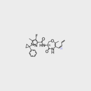 C=C/C=C\C1=C(C)OC[C@H](NC(=O)c2nn(C3(c4ccccc4)CC3)c(C)c2F)C(=O)N1